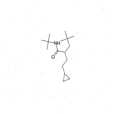 CC(C)(C)CC(CCC1CC1)C(=O)NC(C)(C)C